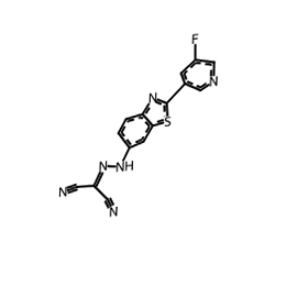 N#CC(C#N)=NNc1ccc2nc(-c3cncc(F)c3)sc2c1